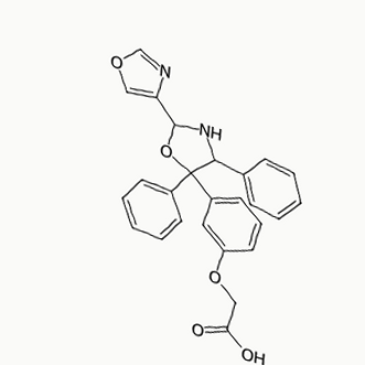 O=C(O)COc1cccc(C2(c3ccccc3)OC(c3cocn3)NC2c2ccccc2)c1